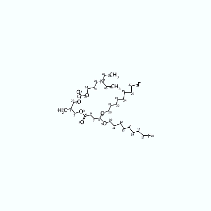 [CH2]C(COC(=O)CCC(OCCCCCCCCF)OCCCCCCCCF)COC(=O)OCCCN(CC)CC